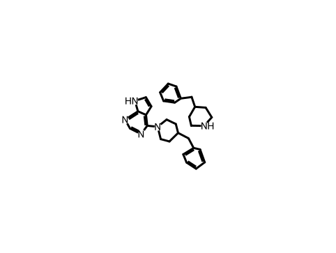 c1ccc(CC2CCN(c3ncnc4[nH]ccc34)CC2)cc1.c1ccc(CC2CCNCC2)cc1